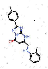 Cc1ccc(-c2nc3[nH]c(CNc4ccccc4C)cc(=O)n3n2)cc1